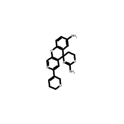 NC1=NC2(CCS1)c1cc(N)ccc1Oc1cnc(C3=CCCOC3)cc12